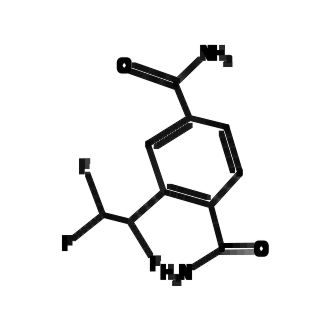 NC(=O)c1ccc(C(N)=O)c(C(F)C(F)F)c1